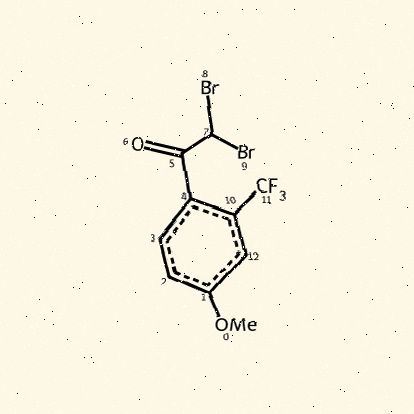 COc1ccc(C(=O)C(Br)Br)c(C(F)(F)F)c1